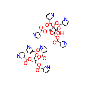 O=C(OCC(COC(=O)c1cccnc1)(COC(=O)c1cccnc1)COC(=O)c1cccnc1)c1cccnc1.O=C(OC[C@H]1O[C@](O)(COC(=O)c2cccnc2)[C@@H](OC(=O)c2cccnc2)[C@@H]1OC(=O)c1cccnc1)c1cccnc1